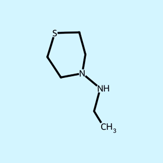 CCNN1CCSCC1